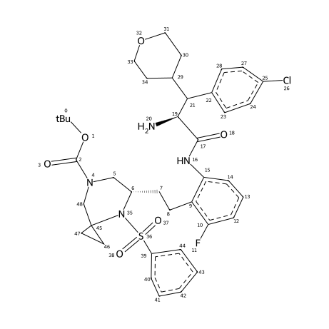 CC(C)(C)OC(=O)N1C[C@H](CCc2c(F)cccc2NC(=O)[C@@H](N)C(c2ccc(Cl)cc2)C2CCOCC2)N(S(=O)(=O)c2ccccc2)C2(CC2)C1